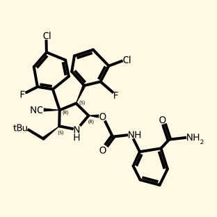 CC(C)(C)C[C@@H]1N[C@H](OC(=O)Nc2ccccc2C(N)=O)[C@H](c2cccc(Cl)c2F)[C@@]1(C#N)c1ccc(Cl)cc1F